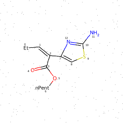 CCC=C(C(=O)OCCCCC)c1csc(N)n1